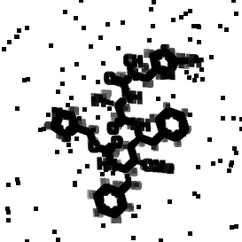 CO[C@@H](C[C@H](Cc1ccccc1)NC(=O)[C@@H](NC(=O)N(C)Cc1csc(C(C)C)n1)C(C)C)[C@H](Cc1ccccc1)NC(=O)OCc1cncs1